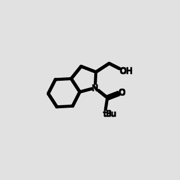 CC(C)(C)C(=O)N1C(CO)CC2CCCCC21